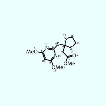 COC(=O)CC1(Sc2nc(OC)cc(OC)n2)SCCS1